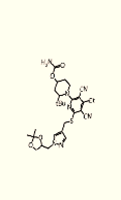 CCc1c(C#N)c(SCc2cnn(CC3COC(C)(C)O3)c2)nc(N2CCC(OC(N)=O)CC2C(C)(C)C)c1C#N